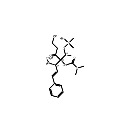 C[C@H](O[Si](C)(C)C(C)(C)C)[C@@](NC(=O)N(C)C)(C(=O)CCO)[C@@H](C=Cc1ccccc1)NC(=O)O